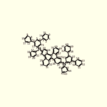 c1ccc(-c2cc(-c3ccccc3)cc(N(c3ccccc3)c3ccc4c(c3)c3ccccc3c3c5ccc(N(c6ccccc6)c6cc(-c7ccccc7)cc(-c7ccccc7)c6)cc5c5ccccc5c43)c2)cc1